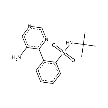 CC(C)(C)NS(=O)(=O)c1ccccc1-c1n[c]ncc1N